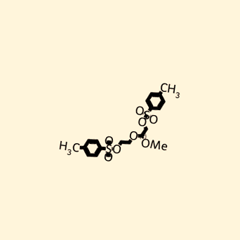 CO[C@@H](COS(=O)(=O)c1ccc(C)cc1)OCCOS(=O)(=O)c1ccc(C)cc1